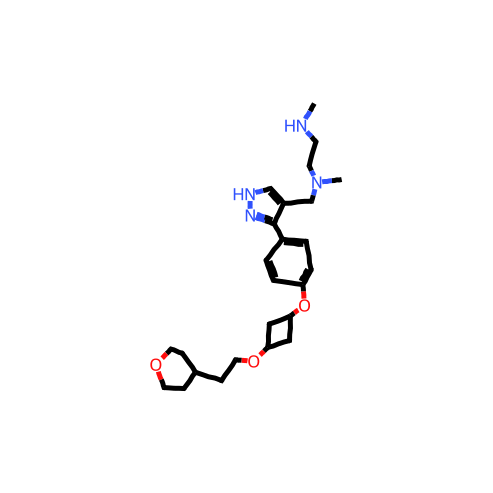 CNCCN(C)Cc1c[nH]nc1-c1ccc(OC2CC(OCCC3CCOCC3)C2)cc1